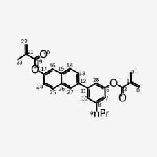 C=C(C)C(=O)Oc1cc(CCC)cc(-c2ccc3cc(OC(=O)C(=C)C)ccc3c2)c1